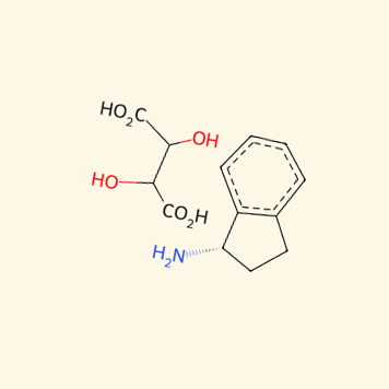 N[C@H]1CCc2ccccc21.O=C(O)C(O)C(O)C(=O)O